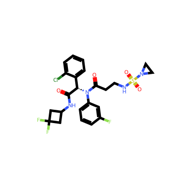 O=C(NC1CC(F)(F)C1)[C@H](c1ccccc1Cl)N(C(=O)CCNS(=O)(=O)N1CC1)c1cccc(F)c1